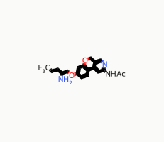 CC(=O)Nc1cc2c(cn1)COc1cc(OCC(N)CCC(F)(F)F)ccc1-2